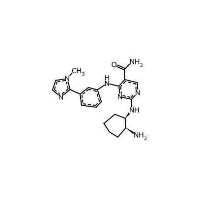 Cn1ccnc1-c1cccc(Nc2nc(N[C@@H]3CCCC[C@@H]3N)ncc2C(N)=O)c1